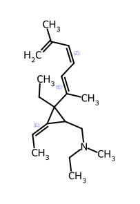 C=C(C)/C=C\C=C(/C)C1(CC)/C(=C/C)C1CN(C)CC